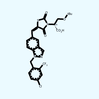 CC(C)(C)OC[C@H](C(=O)O)N1C(=O)SC(=Cc2ccc3c(cnn3Cc3ccc(Cl)cc3C(F)(F)F)c2)C1=O